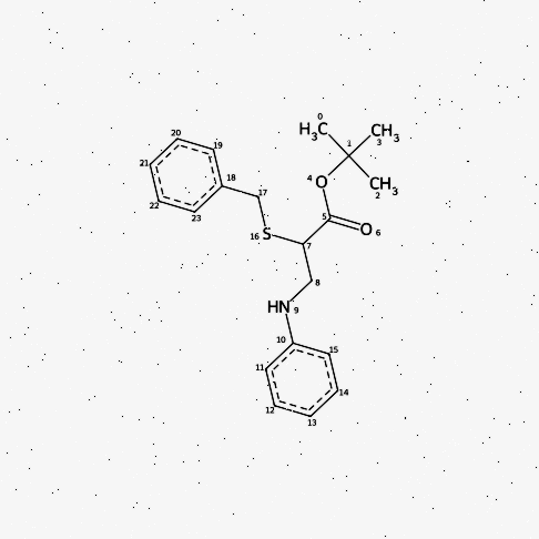 CC(C)(C)OC(=O)C(CNc1ccccc1)SCc1ccccc1